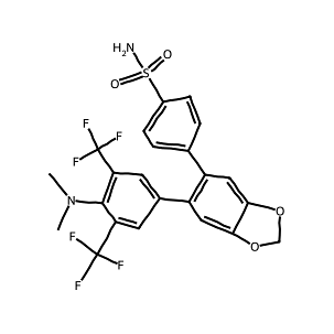 CN(C)c1c(C(F)(F)F)cc(-c2cc3c(cc2-c2ccc(S(N)(=O)=O)cc2)OCO3)cc1C(F)(F)F